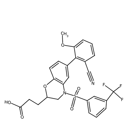 COc1cccc(C#N)c1-c1ccc2c(c1)N(S(=O)(=O)c1cccc(C(F)(F)F)c1)CC(CCC(=O)O)O2